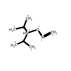 C=NO[SiH](C(C)C)C(C)C